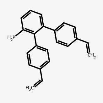 C=Cc1ccc(-c2cccc(P)c2-c2ccc(C=C)cc2)cc1